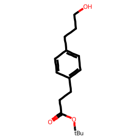 CC(C)(C)OC(=O)CCc1ccc(CCCO)cc1